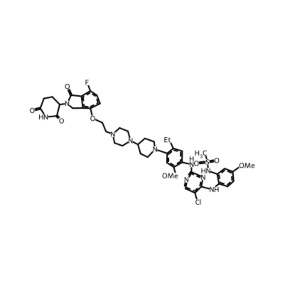 CCc1cc(Nc2ncc(Cl)c(Nc3ccc(OC)cc3NS(C)(=O)=O)n2)c(OC)cc1N1CCC(N2CCN(CCOc3ccc(F)c4c3CN(C3CCC(=O)NC3=O)C4=O)CC2)CC1